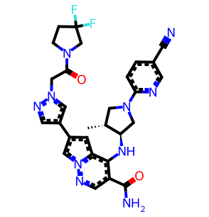 C[C@@H]1CN(c2ccc(C#N)cn2)C[C@H]1Nc1c(C(N)=O)cnn2cc(-c3cnn(CC(=O)N4CCC(F)(F)C4)c3)cc12